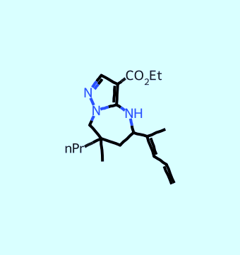 C=C/C=C(\C)C1CC(C)(CCC)Cn2ncc(C(=O)OCC)c2N1